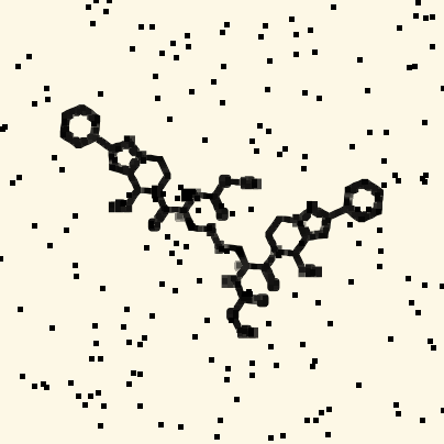 CCCCC1c2cc(-c3ccccc3)nn2CCN1C(=O)[C@H](CSSC[C@H](NC(=O)OC(C)(C)C)C(=O)N1CCn2nc(-c3ccccc3)cc2C1CCCC)NC(=O)OC(C)(C)C